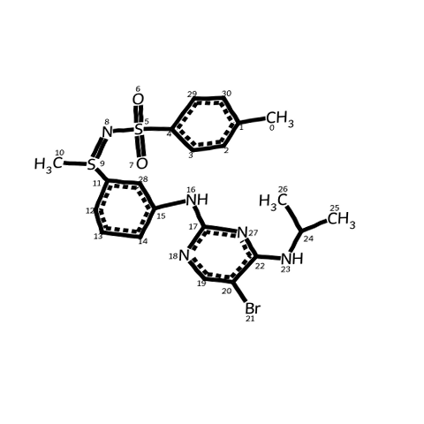 Cc1ccc(S(=O)(=O)N=S(C)c2cccc(Nc3ncc(Br)c(NC(C)C)n3)c2)cc1